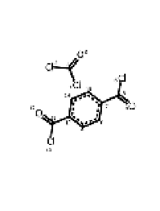 O=C(Cl)Cl.O=C(Cl)c1ccc(C(=O)Cl)cc1